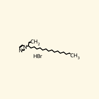 Br.C=CC(CCCCCCCCCCCCCCC)n1ccnc1